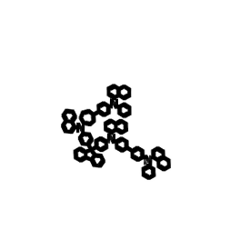 C1=Cc2c(cccc2N(c2ccccc2)c2ccc(C3=CC=C(N(c4ccc(C5(c6ccc(N(c7ccc(-c8ccc(N(c9ccccc9)c9cccc%10c9C=CCC%10)cc8)cc7)c7cccc8ccccc78)cc6)c6ccccc6-c6ccccc65)cc4)c4cccc5ccccc45)CC=C3)cc2)CC1